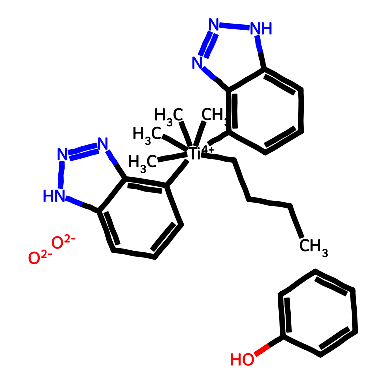 CCC[CH2][Ti+4]([CH3])([CH3])([CH3])([CH3])([c]1cccc2[nH]nnc12)[c]1cccc2[nH]nnc12.Oc1ccccc1.[O-2].[O-2]